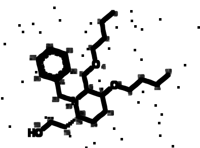 CCCCOCC1C(OCCCC)CC[C@H](CCO)N1Cc1ccccc1